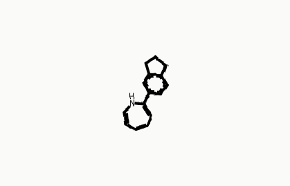 [CH]1CCc2cc(C3=CC=CC=CN3)ccc21